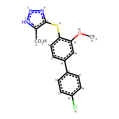 O=C(O)c1[nH]nnc1Sc1ccc(-c2ccc(Cl)cc2)cc1OC(F)(F)F